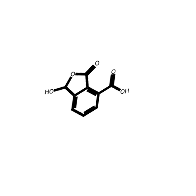 O=C(O)c1cccc2c1C(=O)OC2O